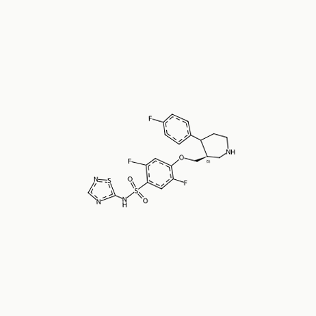 O=S(=O)(Nc1ncns1)c1cc(F)c(OC[C@@H]2CNCCC2c2ccc(F)cc2)cc1F